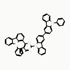 c1ccc(-n2c3ccccc3c3cc(-c4ccc5c(c4)c4ccccc4n5-c4nc(-c5cccc6c7ccccc7n(-c7ccccc7)c56)c5ccsc5n4)ccc32)cc1